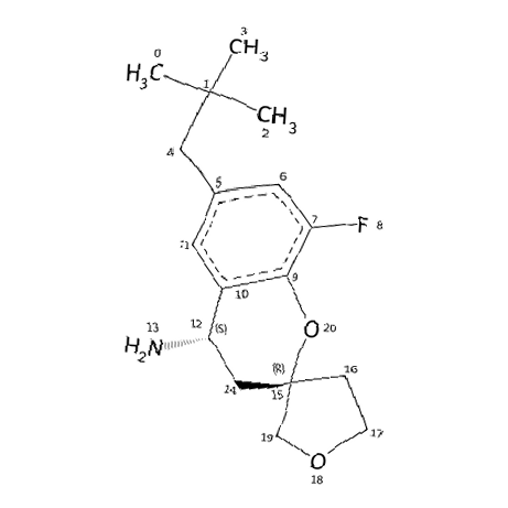 CC(C)(C)Cc1cc(F)c2c(c1)[C@@H](N)C[C@]1(CCOC1)O2